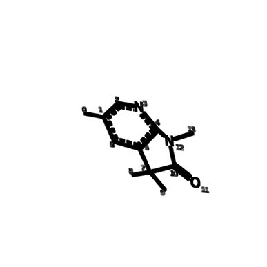 Cc1cnc2c(c1)C(C)(C)C(=O)N2C